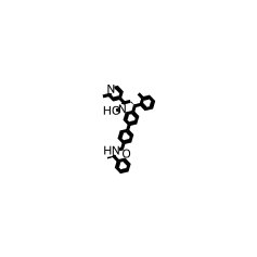 Cc1cc(C(C[C@@H](c2ccc(-c3ccc(C(=O)N[C@H](C)c4ccccc4)cc3)cc2)c2ccccc2C)=NO)ccn1